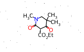 CCOC(=O)[C@H]1C(=O)N(C)CC(C)(C)C1=O